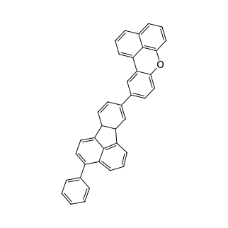 C1=CC2c3ccc(-c4ccccc4)c4cccc(c34)C2C=C1c1ccc2c(c1)-c1cccc3cccc(c13)O2